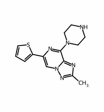 Cc1nc2c(N3CCNCC3)nc(-c3cccs3)cn2n1